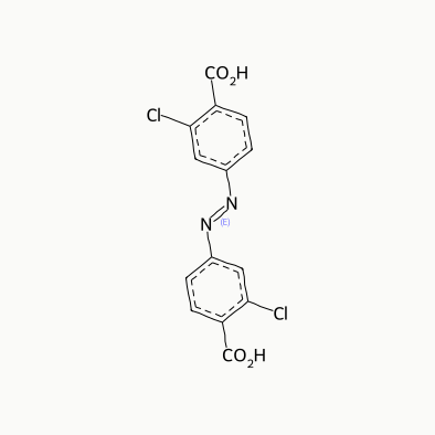 O=C(O)c1ccc(/N=N/c2ccc(C(=O)O)c(Cl)c2)cc1Cl